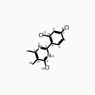 Cc1nc(-c2ccc(Cl)cc2Cl)nc(Cl)c1C